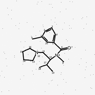 Cc1cccc(C(=O)N(C)C(CN2CCCC2)C(C)C)c1